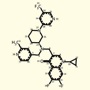 Cc1cc(CN(Cc2cn(C3CC3)c3cc(F)c(F)cc3c2=O)[C@H]2CCCN(c3cncc(C(F)(F)F)c3)C2)ccn1